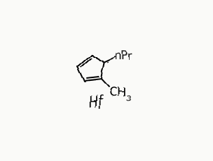 CCC[C]1C=CC=C1C.[Hf]